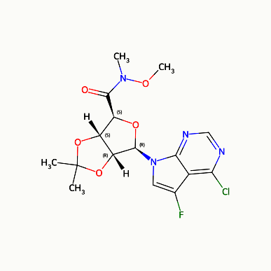 CON(C)C(=O)[C@H]1O[C@@H](n2cc(F)c3c(Cl)ncnc32)[C@@H]2OC(C)(C)O[C@@H]21